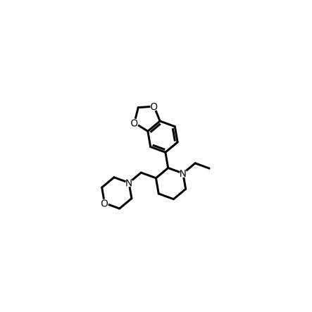 CCN1CCCC(CN2CCOCC2)C1c1ccc2c(c1)OCO2